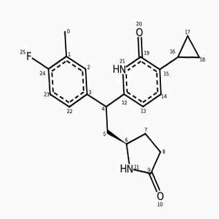 Cc1cc(C(C[C@H]2CCC(=O)N2)c2ccc(C3CC3)c(=O)[nH]2)ccc1F